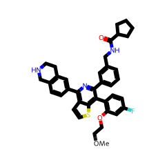 COCCOc1cc(F)ccc1-c1c(-c2cccc(CNC(=O)C3CCCC3)c2)nc(-c2ccc3c(c2)CCNC3)c2ccsc12